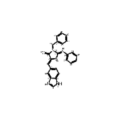 O=C1/C(=C/c2ccc3[nH]cnc3c2)S/C(=N\c2ccccc2)N1Cc1ccccc1